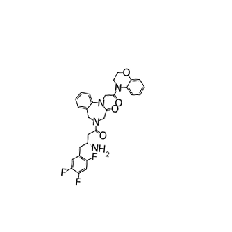 N[C@@H](CC(=O)N1CC(=O)N(CC(=O)N2CCOc3ccccc32)c2ccccc2C1)Cc1cc(F)c(F)cc1F